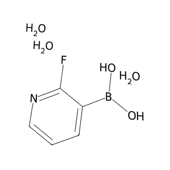 O.O.O.OB(O)c1cccnc1F